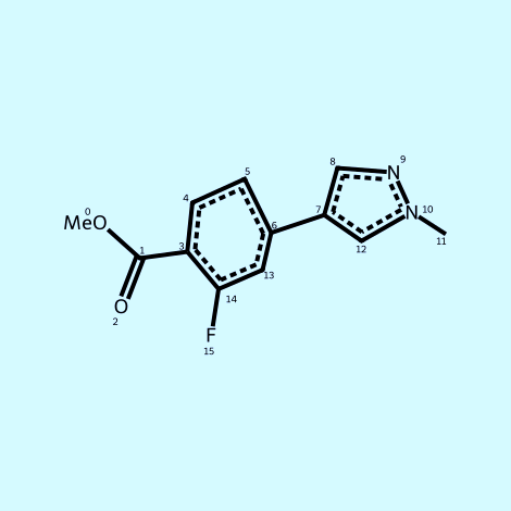 COC(=O)c1ccc(-c2cnn(C)c2)cc1F